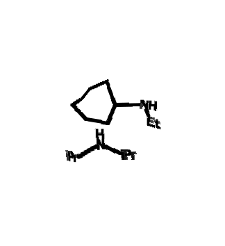 CC(C)NC(C)C.CCNC1CCCCC1